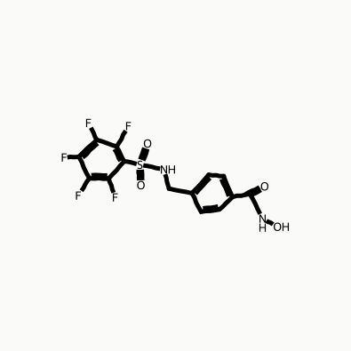 O=C(NO)c1ccc(CNS(=O)(=O)c2c(F)c(F)c(F)c(F)c2F)cc1